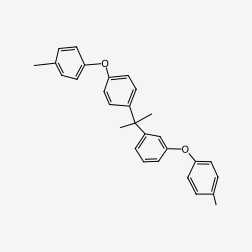 Cc1ccc(Oc2ccc(C(C)(C)c3cccc(Oc4ccc(C)cc4)c3)cc2)cc1